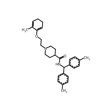 CC1=CCCC=C1OCCN1CCC(C(=O)NC(c2ccc(C)cc2)c2ccc(C)cc2)CC1